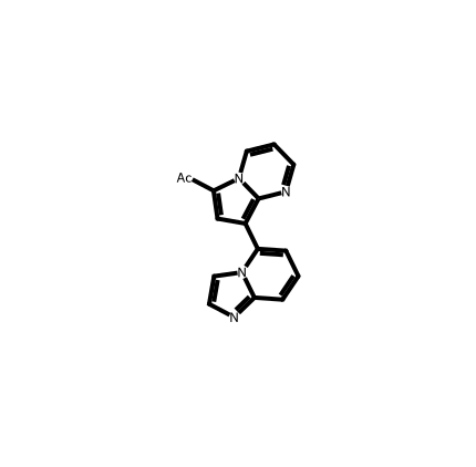 CC(=O)c1cc(-c2cccc3nccn23)c2ncccn12